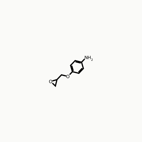 Nc1ccc(OCC2CO2)cc1